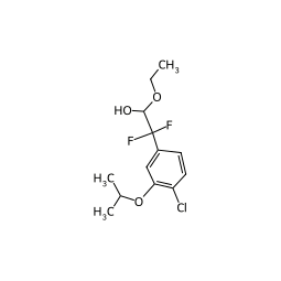 CCOC(O)C(F)(F)c1ccc(Cl)c(OC(C)C)c1